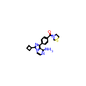 Nc1nccn2c(C3CCC3)nc(-c3ccc(C(=O)N4CCSC4)cc3)c12